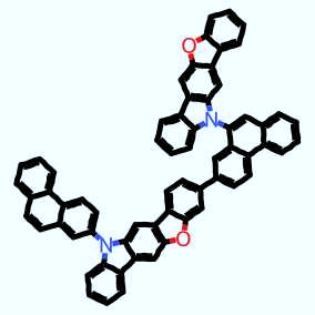 c1ccc2c(c1)ccc1cc(-n3c4ccccc4c4cc5oc6cc(-c7ccc8c(c7)c(-n7c9ccccc9c9cc%10oc%11ccccc%11c%10cc97)cc7ccccc78)ccc6c5cc43)ccc12